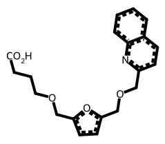 O=C(O)CCCOCc1ccc(COCc2ccc3ccccc3n2)o1